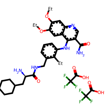 CCOc1cc2ncc(C(N)=O)c(Nc3cccc(CNC(=O)[C@H](N)CC4CCCCC4)c3CC)c2cc1OCC.O=C(O)C(F)(F)F.O=C(O)C(F)(F)F